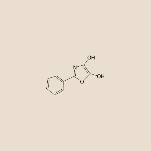 Oc1nc(-c2ccccc2)oc1O